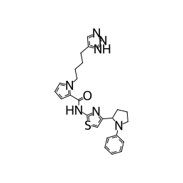 O=C(Nc1nc(C2CCCN2c2ccccc2)cs1)c1cccn1CCCCc1cnn[nH]1